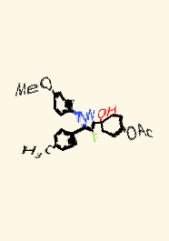 COc1ccc(-n2nc(C3(O)CCC(OC(C)=O)CC3)c(F)c2-c2ccc(C)cc2)cc1